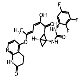 C=C(/C(O)=C\C=C(/C)Oc1ccnc2c1CCC(=O)N2)[C@@H]1[C@@H]2C[C@@]12NC(=O)Nc1cc(F)cc(F)c1F